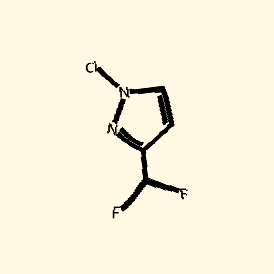 FC(F)c1ccn(Cl)n1